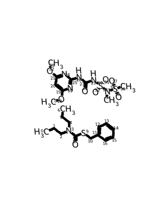 CCCN(CCC)C(=O)SCc1ccccc1.COc1cc(OC)nc(NC(=O)NS(=O)(=O)N(C)S(C)(=O)=O)n1